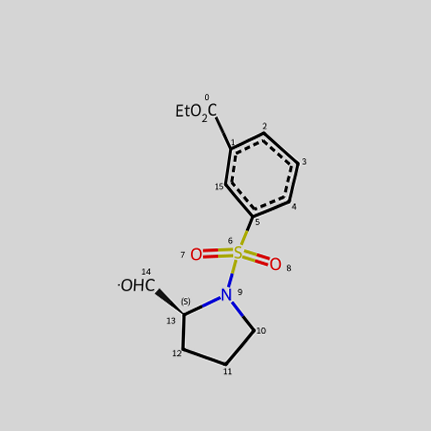 CCOC(=O)c1cccc(S(=O)(=O)N2CCC[C@H]2[C]=O)c1